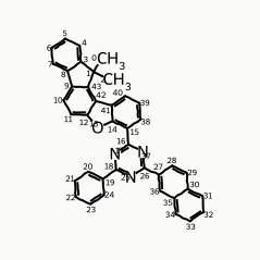 CC1(C)c2ccccc2-c2ccc3oc4c(-c5nc(-c6ccccc6)nc(-c6ccc7ccccc7c6)n5)cccc4c3c21